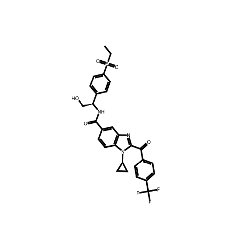 CCS(=O)(=O)c1ccc([C@H](CO)NC(=O)c2ccc3c(c2)nc(C(=O)c2ccc(C(F)(F)F)cc2)n3C2CC2)cc1